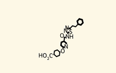 O=C(Nc1nnc(CCc2ccccc2)s1)c1ccc(O[C@H]2CC[C@@H](C(=O)O)CC2)nc1